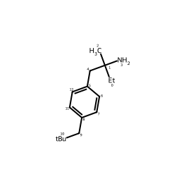 CCC(C)(N)Cc1ccc(CC(C)(C)C)cc1